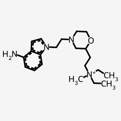 CC[N+](C)(CC)CCC1CN(CCn2ccc3c(N)cccc32)CCO1